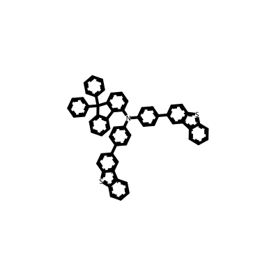 c1ccc(C2(c3ccccc3)c3ccccc3-c3c(N(c4ccc(-c5ccc6sc7ccccc7c6c5)cc4)c4ccc(-c5ccc6sc7ccccc7c6c5)cc4)cccc32)cc1